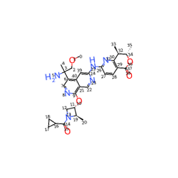 COCC(C)(N)c1cnc(O[C@H]2CN(C(=O)C3CC3)[C@@H]2C)c2cnc(Nc3ccc4c(n3)[C@@H](C)[C@H](C)OC4=O)cc12